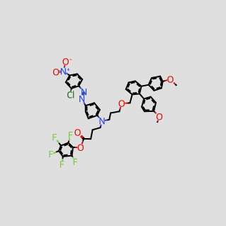 COc1ccc(-c2cccc(COCCCN(CCCC(=O)Oc3c(F)c(F)c(F)c(F)c3F)c3ccc(N=Nc4ccc([N+](=O)[O-])cc4Cl)cc3)c2-c2ccc(OC)cc2)cc1